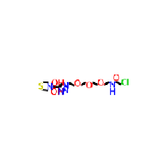 O=C(CCl)NCCOCCOCCOCCn1cc(C(O)(O)N2CCSCC2)nn1